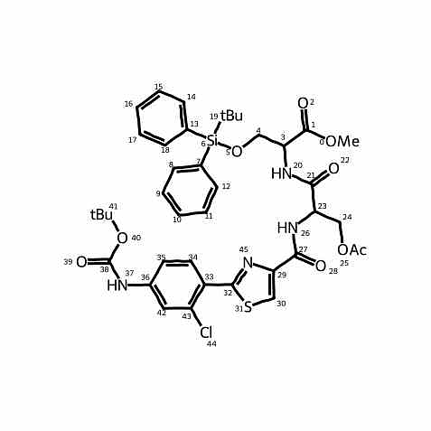 COC(=O)C(CO[Si](c1ccccc1)(c1ccccc1)C(C)(C)C)NC(=O)C(COC(C)=O)NC(=O)c1csc(-c2ccc(NC(=O)OC(C)(C)C)cc2Cl)n1